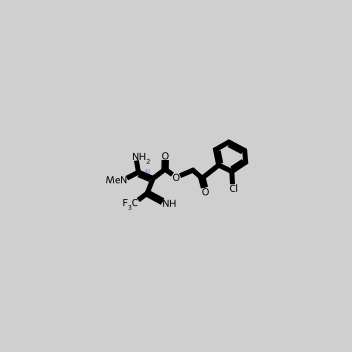 CN/C(N)=C(\C(=N)C(F)(F)F)C(=O)OCC(=O)c1ccccc1Cl